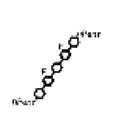 CCCCCC1CCC(c2ccc(C3CCC(c4ccc(C5CCC(CCCCC)CC5)c(F)c4)CC3)c(F)c2)CC1